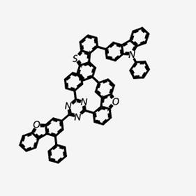 c1ccc(-c2nc(-c3cc(-c4ccccc4)c4c(c3)oc3ccccc34)nc(-c3cccc4oc5ccc(-c6ccc7sc8cccc(-c9ccc%10c(c9)c9ccccc9n%10-c9ccccc9)c8c7c6)cc5c34)n2)cc1